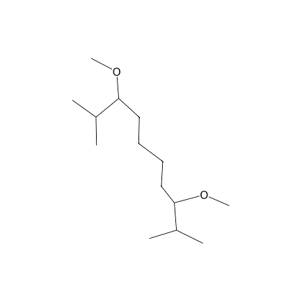 COC(CCCCC(OC)C(C)C)C(C)C